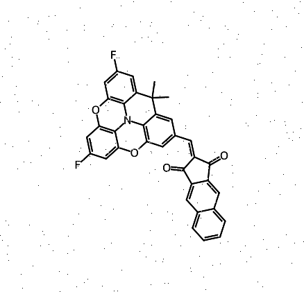 CC1(C)c2cc(F)cc3c2N2c4c(cc(F)cc4Oc4cc(C=C5C(=O)c6cc7ccccc7cc6C5=O)cc1c42)O3